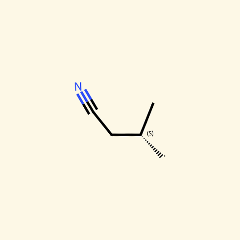 [CH2][C@@H](C)CC#N